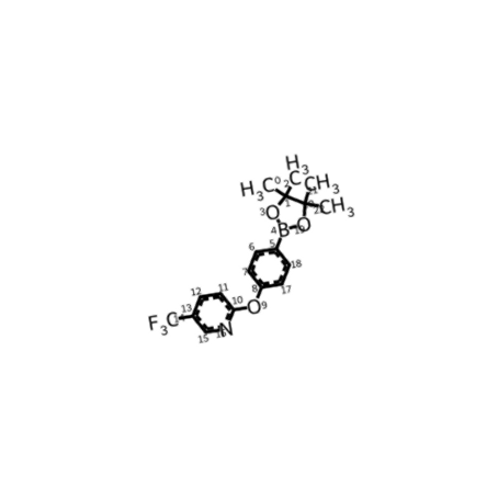 CC1(C)OB(c2ccc(Oc3ccc(C(F)(F)F)cn3)cc2)OC1(C)C